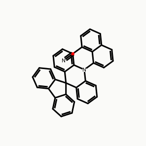 N#Cc1cccc2cccc(N3c4ccccc4C4(c5ccccc5-c5ccccc54)c4ccccc43)c12